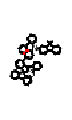 CC1(C)c2ccccc2-c2ccc(N(c3ccc(-c4cccc5c4-c4c(oc6ccccc46)C54c5ccccc5-c5ccccc54)cc3)c3ccccc3-c3ccccc3)cc21